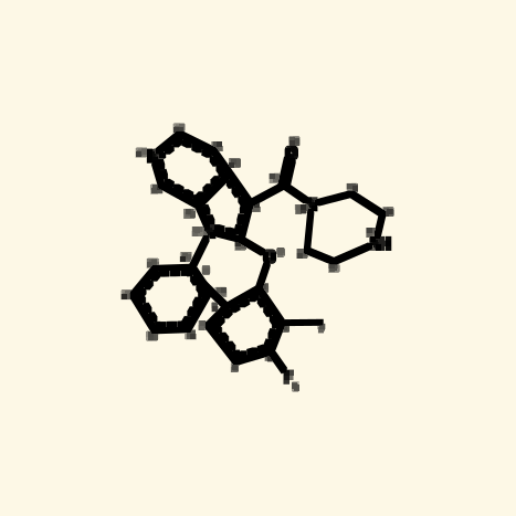 Cc1ccc(F)c(C)c1Oc1c(C(=O)N2CCNCC2)c2ccncc2n1-c1ccccc1